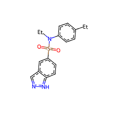 CCc1ccc(N(CC)S(=O)(=O)c2ccc3[nH]ncc3c2)cc1